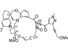 COCC#Cc1nn(C)cc1C(=O)N[S@@]1(=O)=NC(=O)c2ccc3c(c2)N(C[C@@H]2CC[C@H]2[C@@H](OC)/C=C/C[C@H](C)C1)C[C@@]1(CCCc2cc(Cl)ccc21)CO3